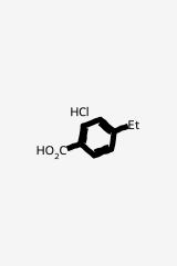 CCc1ccc(C(=O)O)cc1.Cl